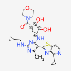 Cc1nc(NCC2CC2)nc(N[C@@H]2C[C@H](C(=O)N3CCOCC3)[C@@H](O)[C@H]2O)c1-c1nc2c(C3CC3)nccc2s1